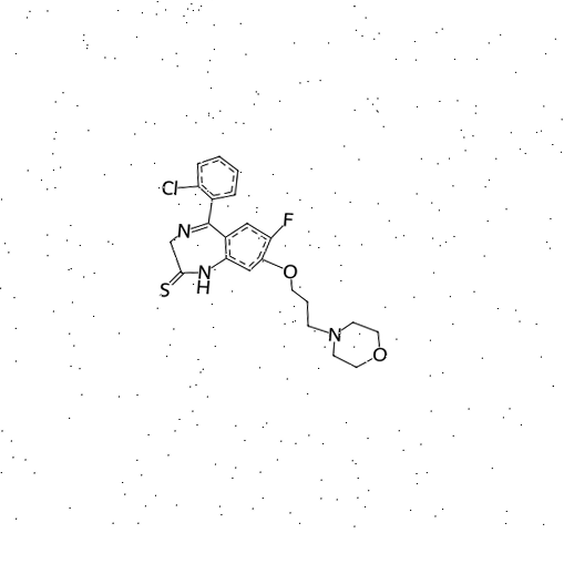 Fc1cc2c(cc1OCCCN1CCOCC1)NC(=S)CN=C2c1ccccc1Cl